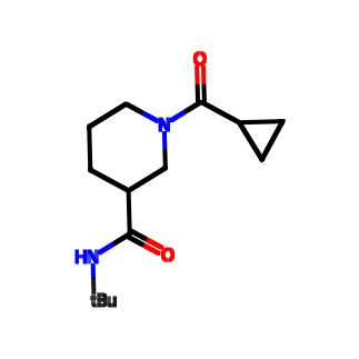 CC(C)(C)NC(=O)C1CCCN(C(=O)C2CC2)C1